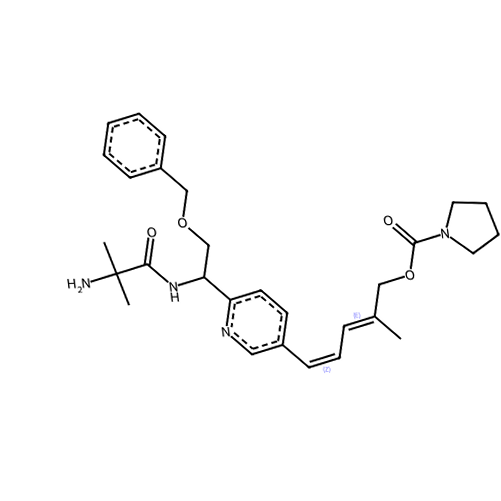 C/C(=C\C=C/c1ccc(C(COCc2ccccc2)NC(=O)C(C)(C)N)nc1)COC(=O)N1CCCC1